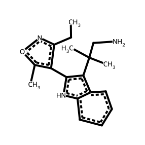 CCc1noc(C)c1-c1[nH]c2ccccc2c1C(C)(C)CN